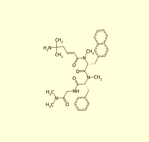 CN(C)C(=O)CNC(=O)[C@@H](Cc1ccccc1)N(C)C(=O)[C@@H](Cc1ccc2ccccc2c1)N(C)C(=O)C=CCC(C)(C)N